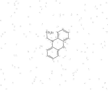 CCOC(=O)CN1c2ccccc2Oc2ccccc21